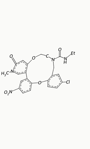 CCNC(=O)N1CCOc2cc(=O)n(C)cc2-c2cc([N+](=O)[O-])ccc2Oc2ccc(Cl)cc2C1